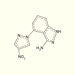 Nc1n[nH]c2cccc(-n3cc([N+](=O)[O-])cn3)c12